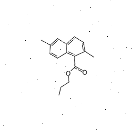 CCCOC(=O)c1c(C)ccc2cc(C)ccc12